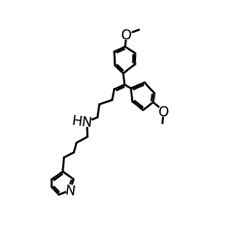 COc1ccc(C(=CCCCNCCCCc2cccnc2)c2ccc(OC)cc2)cc1